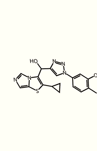 Cc1ccc(-n2cc(C(O)c3c(C4CC4)sc4cncn34)nn2)cc1O